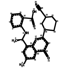 Cc1cc([C@@H](C)Nc2ccccc2C(=O)O)c2oc(N3CCCC(C#N)C3)cc(=O)c2c1